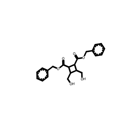 O=C(OCc1ccccc1)C1C(CO)C(CO)C1C(=O)OCc1ccccc1